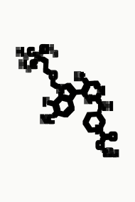 CCc1cnc(N[C@H]2CCCN(C(=O)OC(C)(C)C)C2)nc1-c1cn(COCC[Si](C)(C)C)c2c(F)c(C#N)ccc12